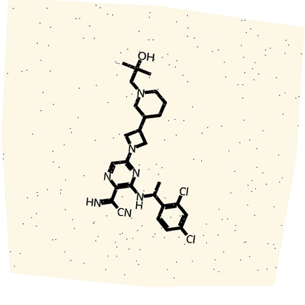 CC(Nc1nc(N2CC(C3CCCN(CC(C)(C)O)C3)C2)cnc1C(=N)C#N)c1ccc(Cl)cc1Cl